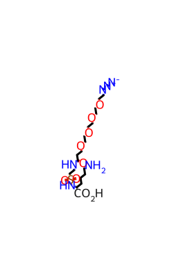 [N-]=[N+]=NCCOCCOCCOCCOCCC(=O)NCCS(=O)(=O)N[C@@H](CCCCN)C(=O)O